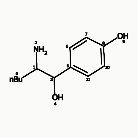 CCCCC(N)C(O)c1ccc(O)cc1